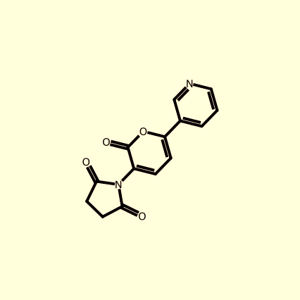 O=C1CCC(=O)N1c1ccc(-c2cccnc2)oc1=O